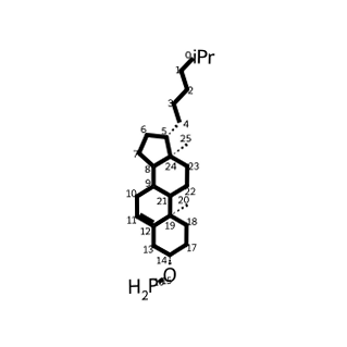 CC(C)CCCC[C@H]1CCC2C3CC=C4C[C@@H](OP)CC[C@]4(C)C3CC[C@@]21C